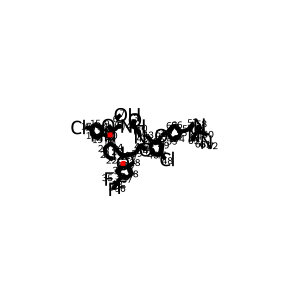 C[C@H]1C(=O)N[C@@H](CO)C(=O)N[C@@]2(Cc3ccc(Cl)cc3)CCCN(C2)C(=O)[C@H](Cc2ccc(C(F)(F)F)cc2)CC(=O)N1Cc1ccc(Cl)cc1Oc1ccc(-c2cnc(CN(C)C)n2C)cc1